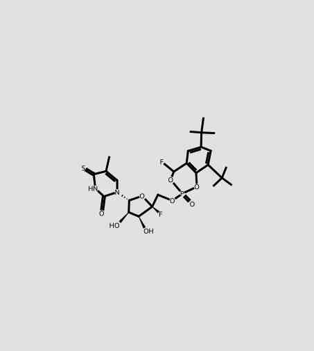 Cc1cn([C@@H]2O[C@](F)(COP3(=O)Oc4c(cc(C(C)(C)C)cc4C(C)(C)C)C(F)O3)[C@@H](O)[C@H]2O)c(=O)[nH]c1=S